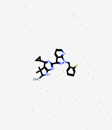 CC1(C)c2c(nc(-c3nn(Cc4ccccc4F)c4ncccc34)nc2C2CC2)NC1C=O